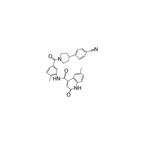 Cc1ccc2[nH]c(=O)cc(C(=O)Nc3cc(C(=O)N4CCC(c5ccc(C#N)cc5)CC4)ccc3C)c2c1